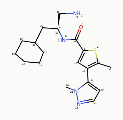 Cc1sc(C(=O)N[C@H](CN)CC2CCCCC2)cc1-c1ccnn1C